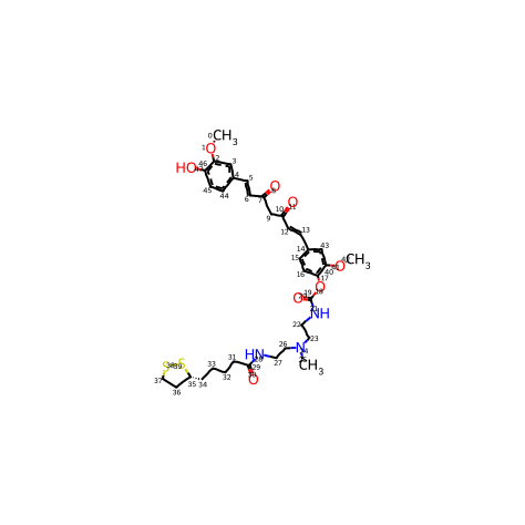 COc1cc(/C=C/C(=O)CC(=O)/C=C/c2ccc(OC(=O)NCCN(C)CCNC(=O)CCCC[C@@H]3CCSS3)c(OC)c2)ccc1O